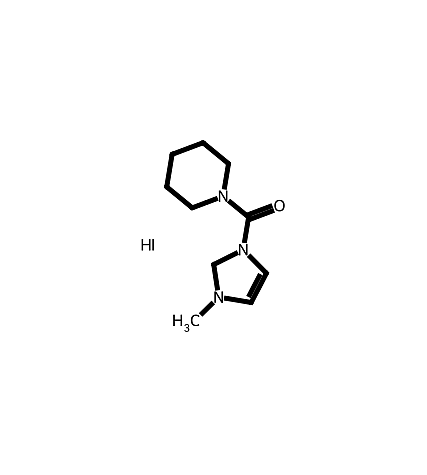 CN1C=CN(C(=O)N2CCCCC2)C1.I